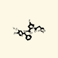 Cc1cc(C(NC(=O)C2CC(F)CN2C(=O)Cc2cnn[nH]2)c2ccccc2)ncc1C(C)C